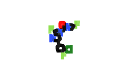 O=C(Cn1cc(F)c2ncc(-c3ccc(F)c(Cl)c3)cc21)N1CC(F)C1